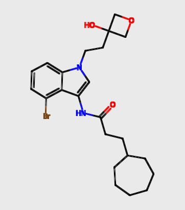 O=C(CCC1CCCCCC1)Nc1cn(CCC2(O)COC2)c2cccc(Br)c12